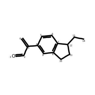 C=C(C=O)c1ccc2c(c1)CCC2CC